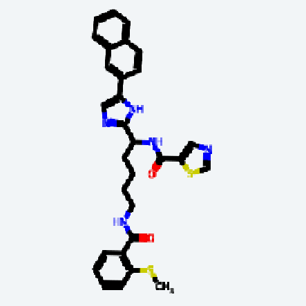 CSc1c#cccc1C(=O)NCCCCC(NC(=O)c1cncs1)c1ncc(-c2ccc3ccccc3c2)[nH]1